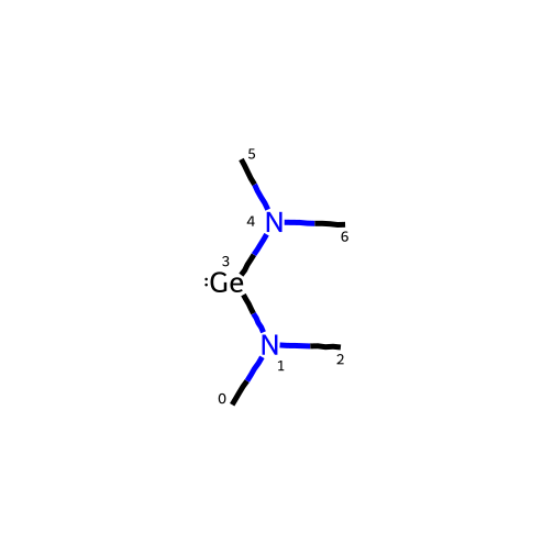 C[N](C)[Ge][N](C)C